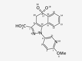 COc1ccc(-n2nc(C(=O)O)c3c2-c2ccccc2S(=O)(=O)C3)cn1